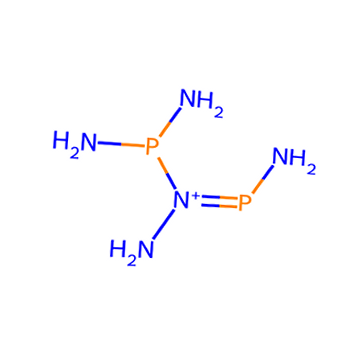 NP=[N+](N)P(N)N